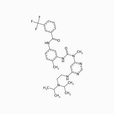 Cc1ccc(NC(=O)c2cccc(C(F)(F)F)c2)cc1NC(=O)N(C)c1cc(NCCN(C(C)C)C(C)C)ncn1